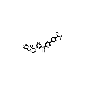 CN(C)C(=O)c1ccc(-c2ccc(Nc3cncc(N4CCN(Cc5cscn5)C4=O)c3)nc2)cc1